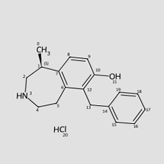 C[C@@H]1CNCCc2c1ccc(O)c2Cc1ccccc1.Cl